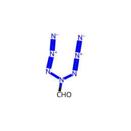 [N-]=[N+]=NN(C=O)N=[N+]=[N-]